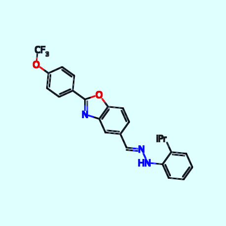 CC(C)c1ccccc1N/N=C/c1ccc2oc(-c3ccc(OC(F)(F)F)cc3)nc2c1